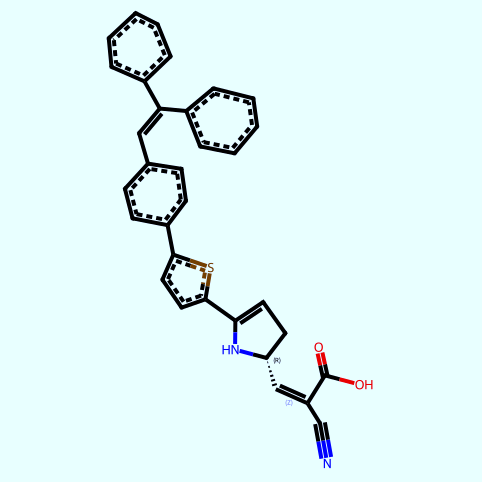 N#C/C(=C/[C@H]1CC=C(c2ccc(-c3ccc(C=C(c4ccccc4)c4ccccc4)cc3)s2)N1)C(=O)O